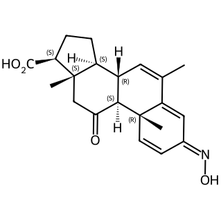 CC1=C[C@H]2[C@@H]3CC[C@H](C(=O)O)[C@@]3(C)CC(=O)[C@@H]2[C@@]2(C)C=CC(=NO)C=C12